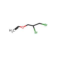 C=COCC(Br)CBr